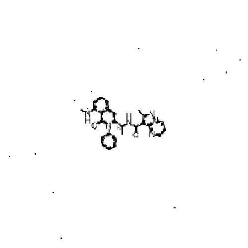 CNc1cccc2cc([C@H](C)NC(=O)c3c(C)nn4cccnc34)n(-c3ccccc3)c(=O)c12